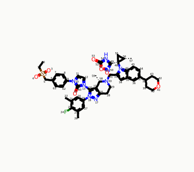 CCS(=O)(=O)Cc1ccc(-n2ccn(-c3c4c(nn3-c3cc(C)c(F)c(C)c3)CCN(C(=O)c3cc5cc(C6CCOCC6)ccc5n3[C@@]3(c5noc(=O)[nH]5)C[C@@H]3C)[C@H]4C)c2=O)cc1